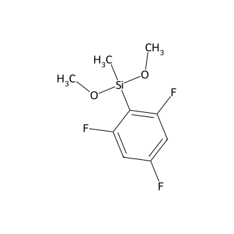 CO[Si](C)(OC)c1c(F)cc(F)cc1F